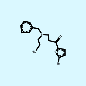 O=C(CCN(CCO)Cc1ccccc1)c1ccc(Br)s1